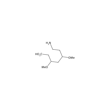 COC(CCN)CC(CC(=O)O)OC